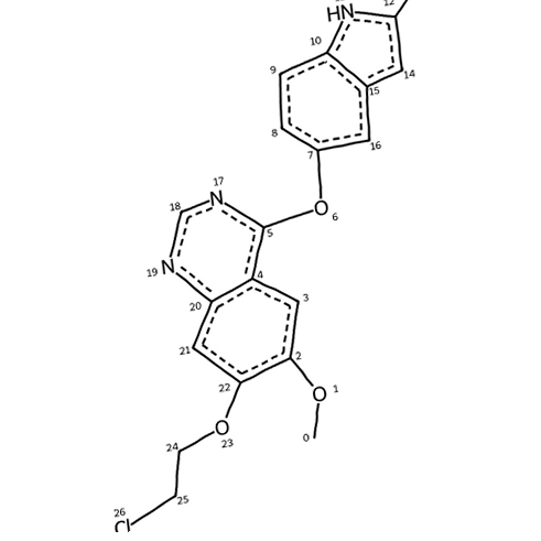 COc1cc2c(Oc3ccc4[nH]c(C)cc4c3)ncnc2cc1OCCCl